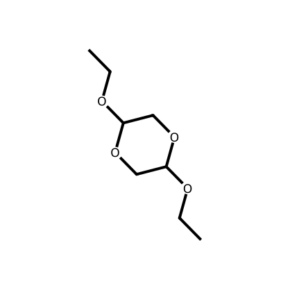 CCOC1COC(OCC)CO1